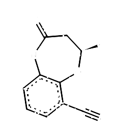 C#Cc1cccc2c1O[C@H](C)CC(=O)N2